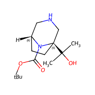 CC(C)(C)OC(=O)N1[C@@H]2CC[C@@]1(C(C)(C)O)CNC2